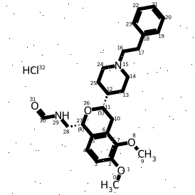 COc1ccc2c(c1OC)C[C@@H](C1CCN(CCc3ccccc3)CC1)O[C@H]2CNC=O.Cl